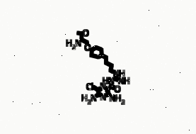 CC(=O)[C@@H](N)COC1CCC(CCCCNC(=N)NC(=O)c2nc(Cl)c(N)nc2N)CC1